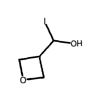 OC(I)C1COC1